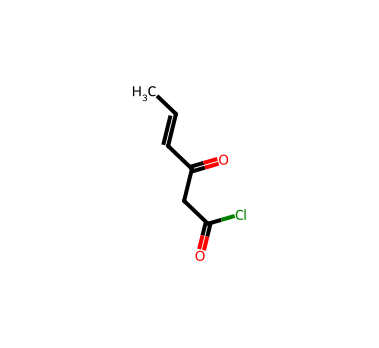 CC=CC(=O)CC(=O)Cl